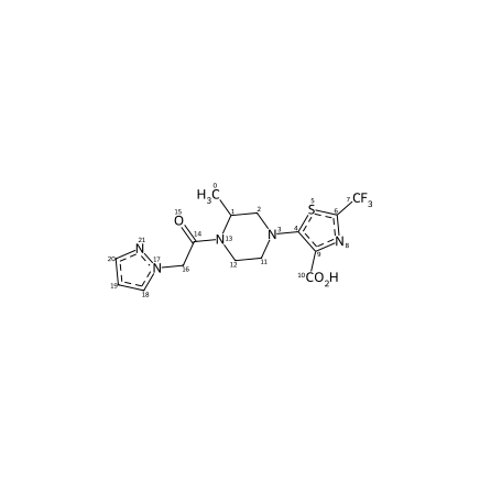 CC1CN(c2sc(C(F)(F)F)nc2C(=O)O)CCN1C(=O)Cn1cccn1